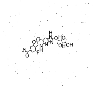 CN(C)C(=O)c1cc(F)c2c(c1)OC[C@@H]2Nc1nc2nc(O[C@@H]3CO[C@H]4[C@@H]3OC[C@H]4O)[nH]c2cc1Cl